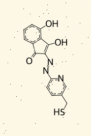 O=C1C(N=Nc2ccc(CS)cn2)=C(O)c2c(O)cccc21